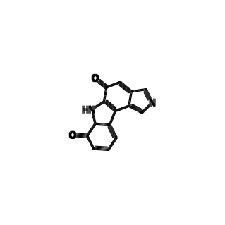 O=C1C=C2C=NC=C2C2=C1NC1C(=O)C=CC=C21